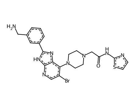 NCc1cccc(-c2nc3c(N4CCN(CC(=O)Nc5nccs5)CC4)c(Br)cnc3[nH]2)c1